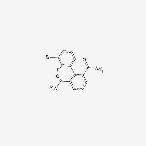 NC(=O)c1cccc(C(N)=O)c1-c1cccc(Br)c1F